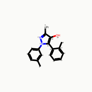 CCCc1nn(-c2cccc(C)c2)c(-c2ccccc2C)c1O